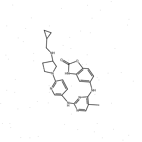 Cc1cnc(Nc2ccc(N3CCC(NCC4CC4)C3)nc2)nc1Nc1ccc2oc(=O)[nH]c2c1